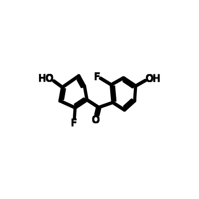 O=C(c1ccc(O)cc1F)c1ccc(O)cc1F